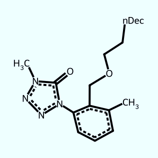 CCCCCCCCCCCCOCc1c(C)cccc1-n1nnn(C)c1=O